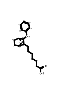 O=C(O)CCCCCCC1C2CCC(O2)C1Sc1ccccc1